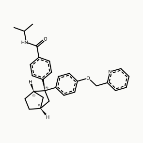 CC(C)NC(=O)c1ccc([C@@]2(c3ccc(OCc4ccccn4)cc3)C[C@@H]3CC[C@H]2C3)cc1